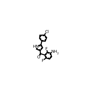 Nc1ccc(F)c(C(=O)c2c[nH]c(-c3ccc(Cl)cc3)c2)c1F